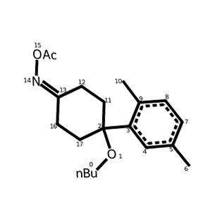 CCCCOC1(c2cc(C)ccc2C)CCC(=NOC(C)=O)CC1